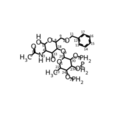 CC(=O)NC1C(O)OC(COCc2ccccc2)C(OC2OC(C)C(OP)C(OP)C2OP)C1O